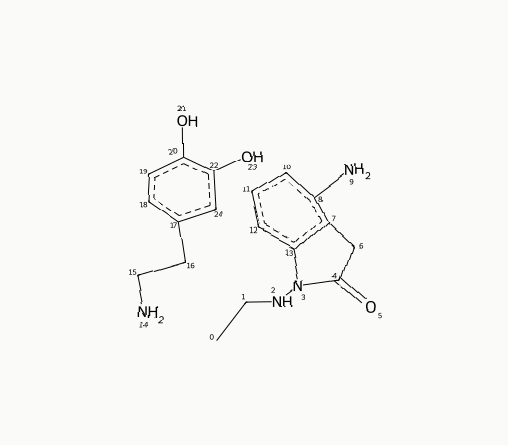 CCNN1C(=O)Cc2c(N)cccc21.NCCc1ccc(O)c(O)c1